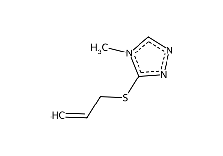 [CH]=CCSc1nncn1C